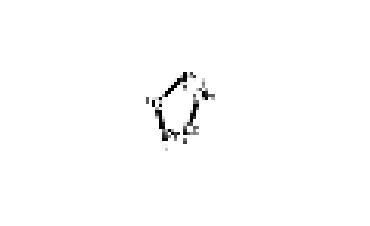 CC(C)OC(C)C.CCO